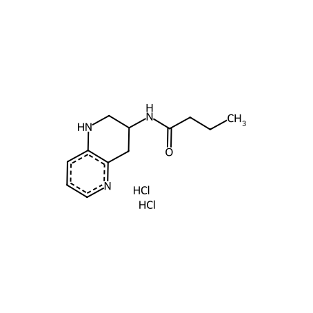 CCCC(=O)NC1CNc2cccnc2C1.Cl.Cl